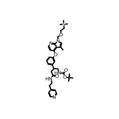 Cc1cn(COCCS(C)(C)C)c2nccc(Oc3cccc(C(CNC(=O)OC(C)(C)C)CC(=O)NCCc4ccncc4)c3)c12